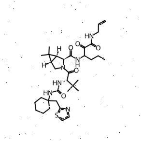 C=CCNC(=O)C(=O)C(CCC)NC(=O)[C@@H]1[C@@H]2[C@H](CN1C(=O)[C@@H](NC(=O)NC1(Cc3nccs3)CCCCC1)C(C)(C)C)C2(C)C